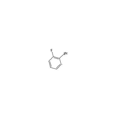 CC(C)c1[c]cccc1F